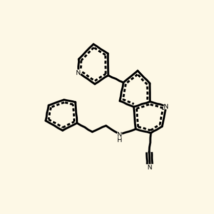 N#Cc1cnc2ccc(-c3cccnc3)cc2c1NCCc1ccccc1